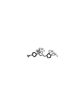 Cc1ccc(CCCN(c2ccc(C3CC3)cc2)S(C)(=O)=O)cc1C